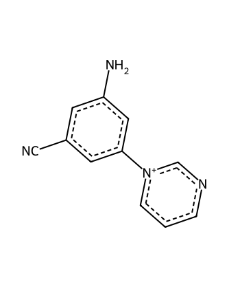 N#Cc1cc(N)cc(-[n+]2cccnc2)c1